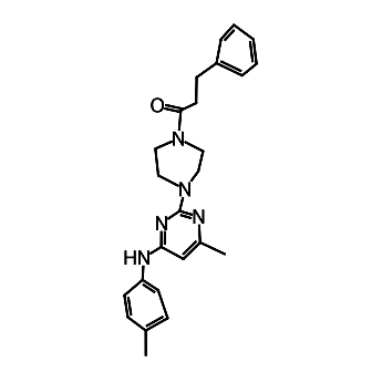 Cc1ccc(Nc2cc(C)nc(N3CCN(C(=O)CCc4ccccc4)CC3)n2)cc1